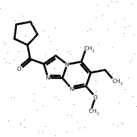 CCc1c(OC)nc2nc(C(=O)C3CCCC3)cn2c1C